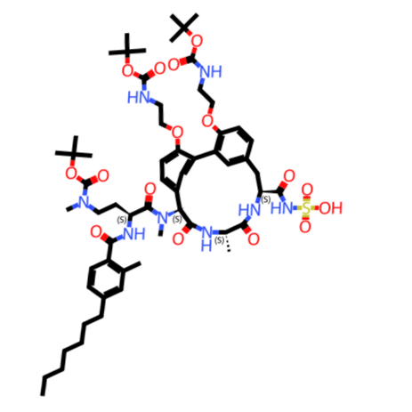 CCCCCCCc1ccc(C(=O)N[C@@H](CCN(C)C(=O)OC(C)(C)C)C(=O)N(C)[C@@H]2C(=O)N[C@@H](C)C(=O)N[C@H](C(=O)NS(=O)(=O)O)Cc3ccc(OCCNC(=O)OC(C)(C)C)c(c3)-c3cc2ccc3OCCNC(=O)OC(C)(C)C)c(C)c1